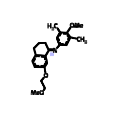 COCCOc1ccc2c(c1)/C(=N/c1cc(C)c(OC)c(C)c1)CCC2